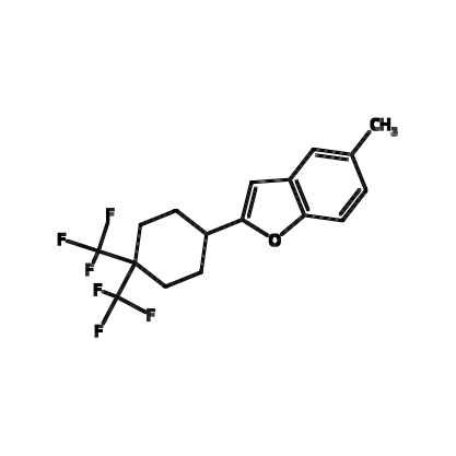 Cc1ccc2oc(C3CCC(C(F)(F)F)(C(F)(F)F)CC3)cc2c1